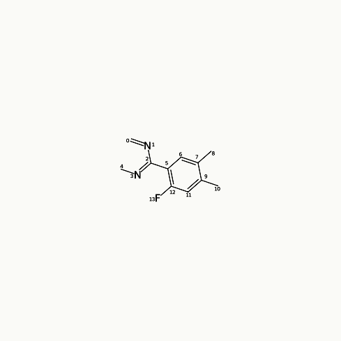 C=N/C(=N\C)c1cc(C)c(C)cc1F